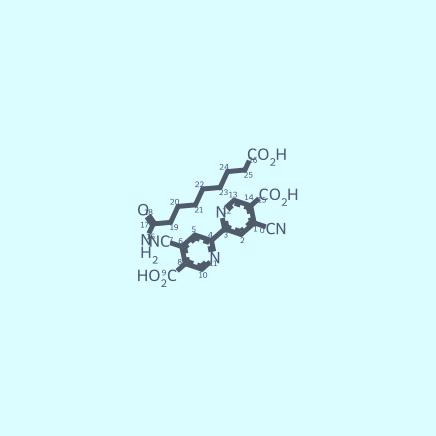 N#Cc1cc(-c2cc(C#N)c(C(=O)O)cn2)ncc1C(=O)O.NC(=O)CCCCCCCC(=O)O